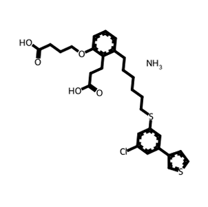 N.O=C(O)CCCOc1cccc(CCCCCCSc2cc(Cl)cc(-c3ccsc3)c2)c1CCC(=O)O